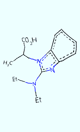 CCN(CC)c1nc2ccccc2n1C(C)C(=O)O